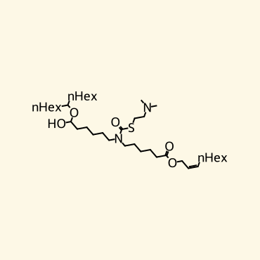 CCCCCC/C=C\COC(=O)CCCCCN(CCCCCC(O)OC(CCCCCC)CCCCCC)C(=O)SCCN(C)C